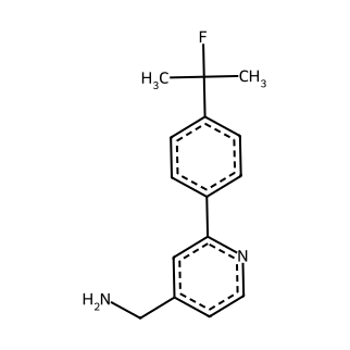 CC(C)(F)c1ccc(-c2cc(CN)ccn2)cc1